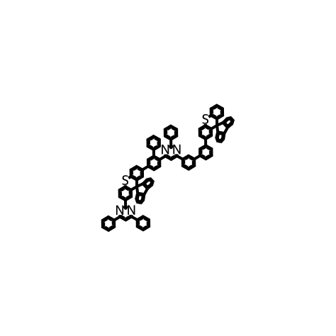 c1ccc(-c2cc(-c3ccccc3)nc(-c3ccc4c(c3)C3(c5cc(-c6ccc(-c7cc(-c8cccc(-c9cccc(-c%10ccc%11c(c%10)C%10(c%12ccccc%12S%11)c%11ccccc%11-c%11ccccc%11%10)c9)c8)nc(-c8ccccc8)n7)c(-c7ccccc7)c6)ccc5S4)c4ccccc4-c4ccccc43)n2)cc1